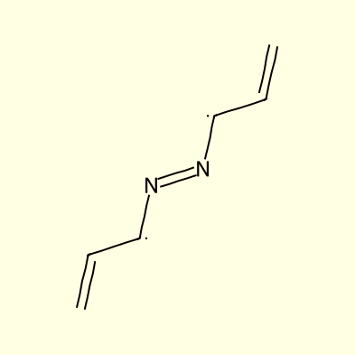 C=C[CH]N=N[CH]C=C